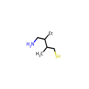 CCC(CN)C(C)CS